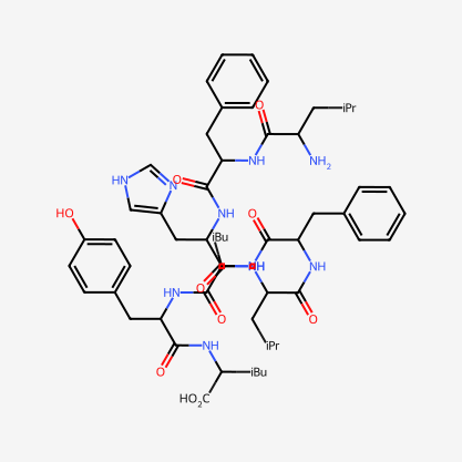 CCC(C)C(NC(=O)C(Cc1ccc(O)cc1)NC(=O)C(NC(=O)C(Cc1ccccc1)NC(=O)C(CC(C)C)NC(=O)C(Cc1c[nH]cn1)NC(=O)C(Cc1ccccc1)NC(=O)C(N)CC(C)C)C(C)CC)C(=O)O